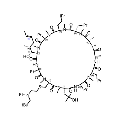 C/C=C/C[C@@H](C)[C@@H](O)[C@H]1C(=O)N[C@H](CC)C(=O)N(C)[C@H](CSCCN(CC)CC(C)(C)C)C(=O)N(C)[C@@H](CC(C)(C)O)C(=O)N[C@H](C(C)C)C(=O)N(C)[C@H](CC(C)C)C(=O)N[C@H](C)C(=O)N[C@@H](C)C(=O)N(C)[C@@H](CC(C)C)C(=O)N(C)[C@H](CCC(C)C)C(=O)N(C)[C@H](C(C)C)C(=O)N1C